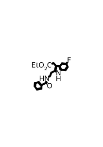 CCOC(=O)Cc1c(CCNC(=O)c2ccccc2)[nH]c2ccc(F)cc12